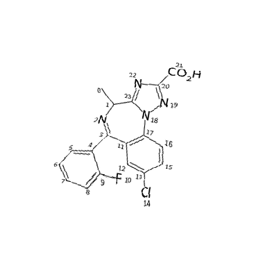 CC1N=C(c2ccccc2F)c2cc(Cl)ccc2-n2nc(C(=O)O)nc21